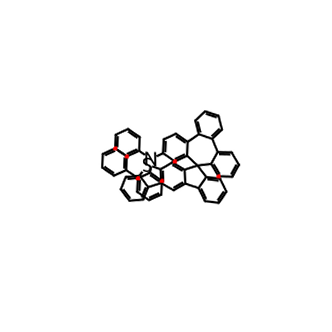 c1ccc(-c2ccccc2N(c2ccccc2)c2ccc3c(c2)C2(c4ccccc4-c4ccccc4-3)c3ccccc3-c3cc4c(cc32)sc2ccccc24)cc1